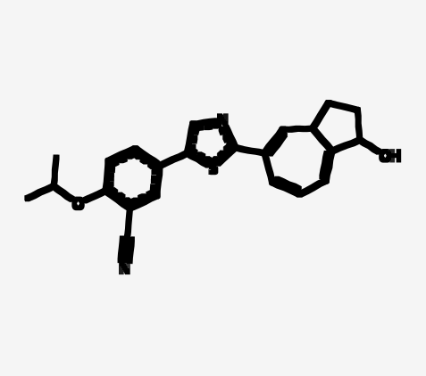 CC(C)Oc1ccc(-c2cnc(C3=CC4CCC(O)C4=CC=C3)s2)cc1C#N